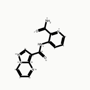 NC(=O)c1ncccc1NC(=O)c1cnn2cccnc12